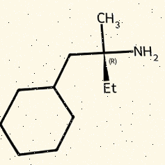 CC[C@@](C)(N)CC1CCCCC1